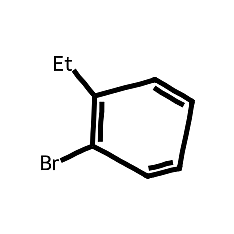 CCc1ccc[c]c1Br